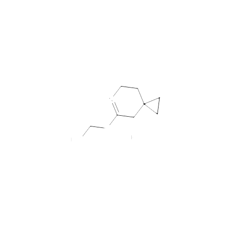 CCOC1=NCCC2(CC2)C1.Cl